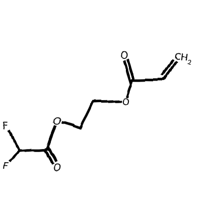 C=CC(=O)OCCOC(=O)C(F)F